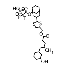 CC(CCC(=O)OCC1CSC(C2CC3CCCC(OC(=O)C(F)(F)S(=O)(=O)O)(C3)C2)S1)CC1CCCC(O)C1